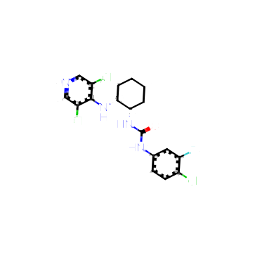 O=C(Nc1ccc(Cl)c(F)c1)N[C@H]1CCCC[C@H]1Nc1c(Cl)cncc1Cl